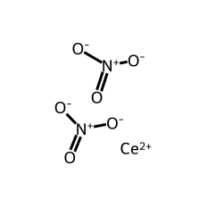 O=[N+]([O-])[O-].O=[N+]([O-])[O-].[Ce+2]